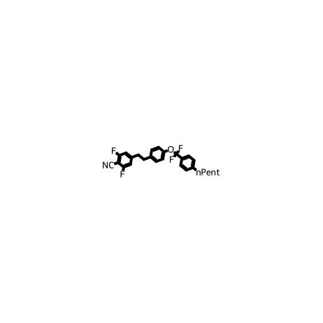 CCCCCc1ccc(C(F)(F)Oc2ccc(CCc3cc(F)c(C#N)c(F)c3)cc2)cc1